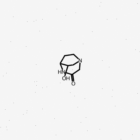 O=C1CN2CCC(N1)C(O)C2